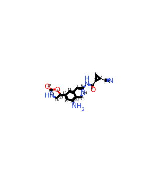 N#C[C@H]1C[C@@H]1C(=O)Nc1cc2cc(C3CNC(=O)O3)cc(N)c2cn1